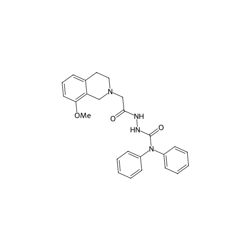 COc1cccc2c1CN(CC(=O)NNC(=O)N(c1ccccc1)c1ccccc1)CC2